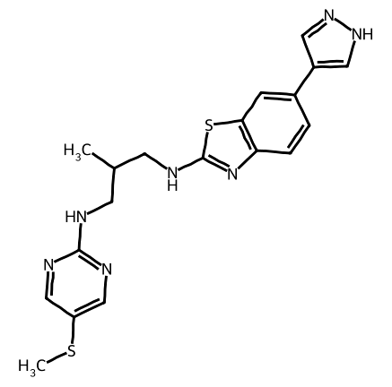 CSc1cnc(NCC(C)CNc2nc3ccc(-c4cn[nH]c4)cc3s2)nc1